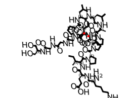 CC[C@H](C)[C@H](NC(=O)[C@@H]1CCCN1C(=O)[C@@H]1CCCN1C(=O)[C@@H](NC(=O)[C@H](CCC(=O)O)NC(=O)[C@@H](N)CCCCN)[C@@H](C)CC)C(=O)N1CCC[C@H]1C(=O)N[C@@H](CC(C)C)C(=O)N[C@@H](CC(C)C)C(=O)N[C@@H](C)C(=O)N1CCC[C@H]1C(=O)N[C@@H](CO)C(=O)NCC(=O)NCC(=O)NCC(=O)N[C@@H](CO)C(=O)O